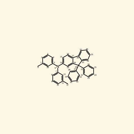 Cc1cccc(N(c2cccc(C)c2)c2ccc3c(c2)C(c2ccccc2)(c2ccccc2)c2ccccc2-3)c1